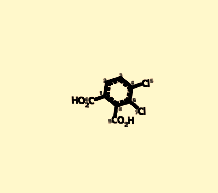 O=C(O)c1ccc(Cl)c(Cl)c1C(=O)O